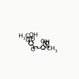 CNc1ccc(/C=C/C(=O)c2ccc(O[C@H](C)C(=O)O)cc2)cc1[N+](=O)[O-]